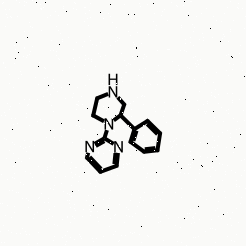 c1ccc(C2CNCCN2c2ncccn2)cc1